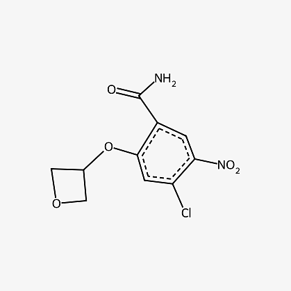 NC(=O)c1cc([N+](=O)[O-])c(Cl)cc1OC1COC1